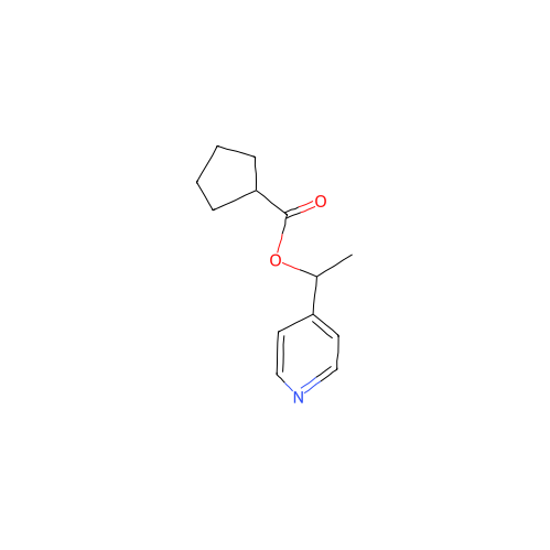 CC(OC(=O)C1CCCC1)c1ccncc1